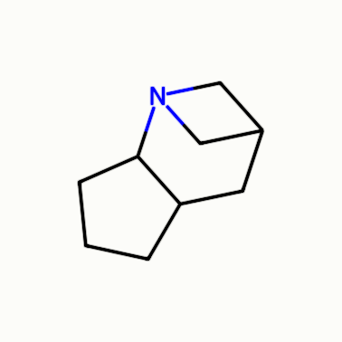 C1CC2CC3CN(C3)C2C1